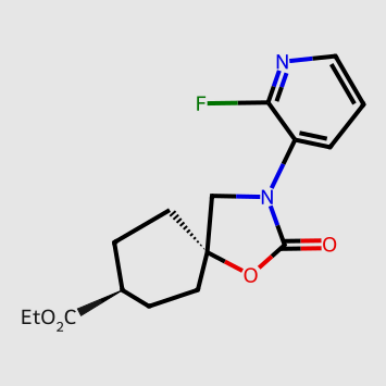 CCOC(=O)[C@H]1CC[C@]2(CC1)CN(c1cccnc1F)C(=O)O2